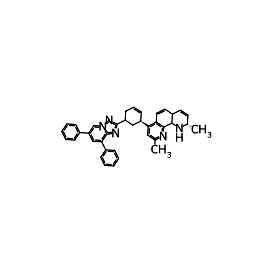 Cc1cc([C@@H]2C=CCC(c3nc4c(-c5ccccc5)cc(-c5ccccc5)cn4n3)C2)c2c(n1)C1N[C@@H](C)C=CC1C=C2